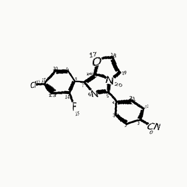 N#Cc1ccc(-c2nc(-c3ccc(Cl)cc3F)c3occn23)cc1